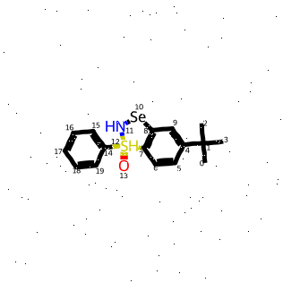 CC(C)(C)c1ccc2c(c1)[Se]N[SH]2(=O)c1ccccc1